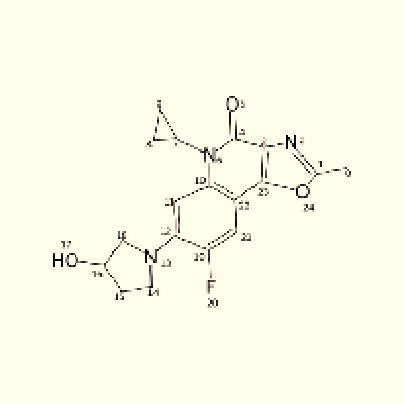 Cc1nc2c(=O)n(C3CC3)c3cc(N4CCC(O)C4)c(F)cc3c2o1